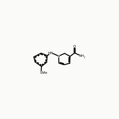 CSc1cccc(NN2C=CC=C(C(N)=O)C2)c1